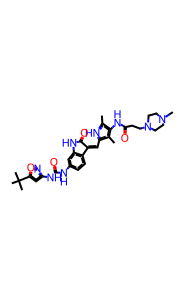 Cc1[nH]c(/C=C2\C(=O)Nc3cc(NC(=O)Nc4cc(C(C)(C)C)on4)ccc32)c(C)c1NC(=O)CCN1CCN(C)CC1